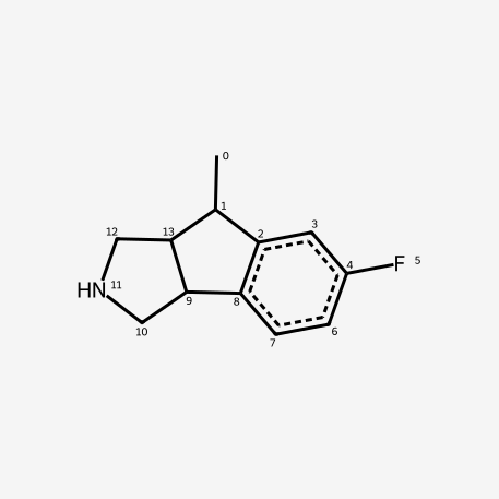 CC1c2cc(F)ccc2C2CNCC12